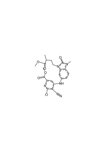 COC(=O)c1cc(Nc2ccc3c(c2)n(CCC(C)C(=O)OC)c(=O)n3C)c(C#N)c(Cl)n1